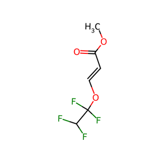 COC(=O)C=COC(F)(F)C(F)F